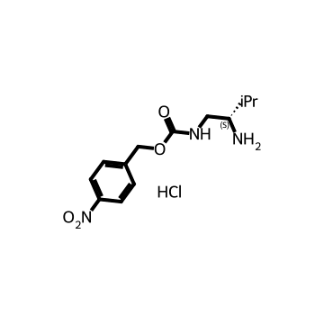 CC(C)[C@H](N)CNC(=O)OCc1ccc([N+](=O)[O-])cc1.Cl